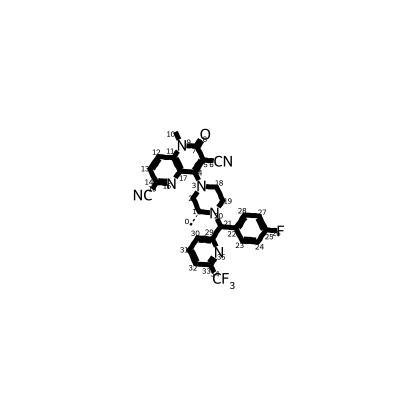 C[C@@H]1CN(c2c(C#N)c(=O)n(C)c3ccc(C#N)nc23)CCN1C(c1ccc(F)cc1)c1cccc(C(F)(F)F)n1